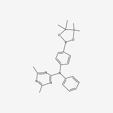 Cc1nc(C)nc(N(c2ccccc2)c2ccc(B3OC(C)(C)C(C)(C)O3)cc2)n1